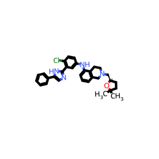 CC1(C)CC[C@H](CN2CCc3c(cccc3Nc3ccc(Cl)c(-c4ncc(-c5ccccc5)[nH]4)c3)C2)O1